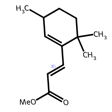 COC(=O)/C=C/C1=CC(C)CCC1(C)C